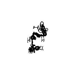 Cc1c(C#CC2C=CC(CN3CC(CNc4cccc5c4CN(C4CCC(=O)NC4=O)C5=O)C3)=CN2)sc2c1C(c1ccc(Cl)cc1)=N[C@@H](C)c1nnc(C)n1-2